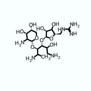 CC(N)[C@@H](O[C@H]1OC[C@@H](O)[C@H](O)C1N)[C@H](O[C@@H]1O[C@H](CNC(=N)N)C(O)[C@@H]1O)C(O)CN